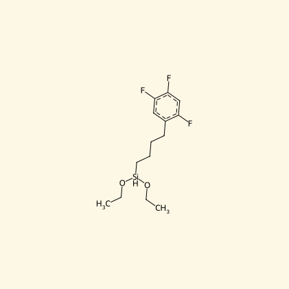 CCO[SiH](CCCCc1cc(F)c(F)cc1F)OCC